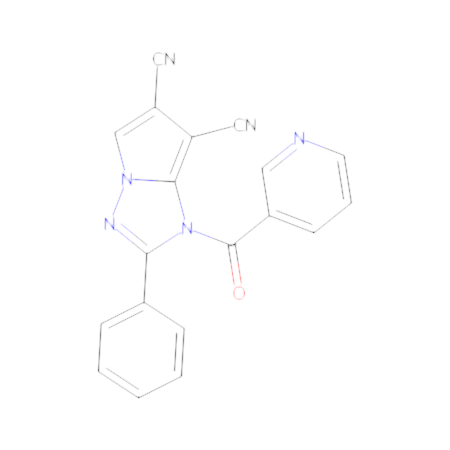 N#Cc1cn2nc(-c3ccccc3)n(C(=O)c3cccnc3)c2c1C#N